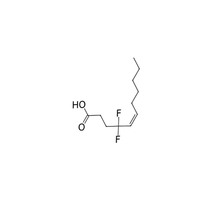 CCCCC/C=C\C(F)(F)CCC(=O)O